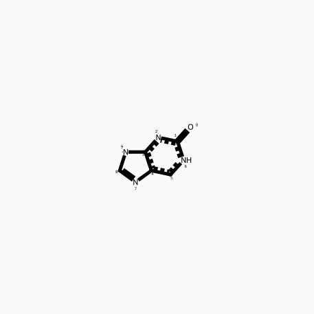 O=c1nc2c(c[nH]1)N=C[N]2